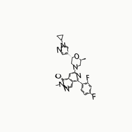 C[C@H]1CN(c2cc3c(=O)n(C)ncc3c(-c3ccc(F)cc3F)n2)C[C@H](c2cnn(C3CC3)c2)O1